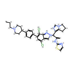 C=C(Nc1nccs1)C(c1ncn2c1CCC2)n1cc2c(Cl)cc(-c3ccc(C4CCN(CCC)CC4)cc3)c(Cl)c2n1